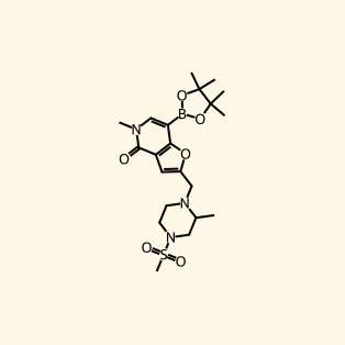 CC1CN(S(C)(=O)=O)CCN1Cc1cc2c(=O)n(C)cc(B3OC(C)(C)C(C)(C)O3)c2o1